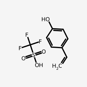 C=Cc1ccc(O)cc1.O=S(=O)(O)C(F)(F)F